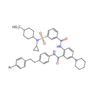 CC(=O)c1ccc(CCc2ccc(NC(=O)c3cc(N4CCCCC4)ccc3NC(=O)c3cccc(S(=O)(=O)N(C4CCC(C(=O)O)CC4)C4CC4)c3)cc2)cc1